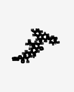 Cc1ccc(N2CCC[C@H](N(Cc3ccnc(C)c3)Cc3cn(C4CC4)c4cc(N5CCN(C(=O)OC(C)(C)C)[C@H](C)C5)c(F)cc4c3=O)C2)cn1